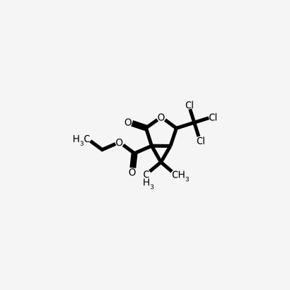 CCOC(=O)C12C(=O)OC(C(Cl)(Cl)Cl)C1C2(C)C